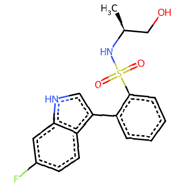 C[C@@H](CO)NS(=O)(=O)c1ccccc1-c1c[nH]c2cc(F)ccc12